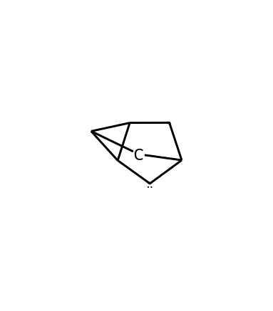 [C]1C2CC3C1C3C2